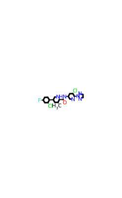 Cc1cc(-c2ccc(F)cc2Cl)cnc1C(=O)Nc1cnc(-n2nccn2)c(Cl)c1